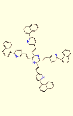 C(=Cc1nc(C=Cc2ccc(-c3cccc4ccccc34)nc2)c(C=Cc2ccc(-c3cccc4ccccc34)nc2)nc1C=Cc1ccc(-c2cccc3ccccc23)nc1)c1ccc(-c2cccc3ccccc23)nc1